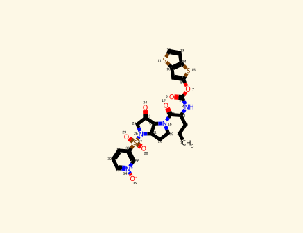 CCCC(NC(=O)Oc1cc2sccc2s1)C(=O)N1CCC2C1C(=O)CN2S(=O)(=O)c1ccc[n+]([O-])c1